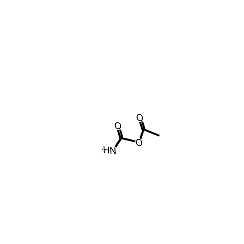 CC(=O)OC([NH])=O